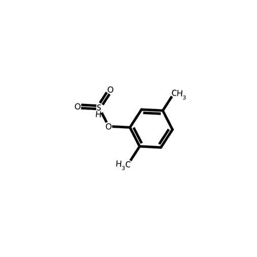 Cc1ccc(C)c(O[SH](=O)=O)c1